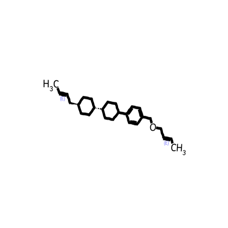 C/C=C/COCc1ccc(C2CCC([C@H]3CC[C@H](C/C=C/C)CC3)CC2)cc1